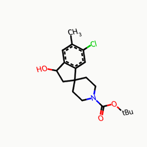 Cc1cc2c(cc1Cl)C1(CCN(C(=O)OC(C)(C)C)CC1)CC2O